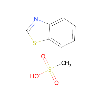 CS(=O)(=O)O.c1ccc2scnc2c1